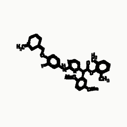 COc1ccc(OC)c(N(C(=O)Oc2c(C)cccc2C)c2ccnc(Nc3ccc(OCC4CCCN(C)C4)c(F)c3)n2)c1